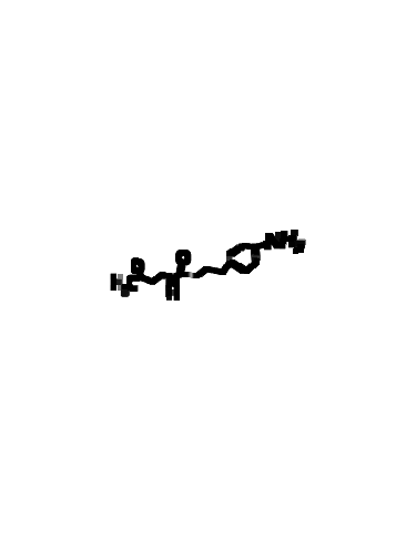 CC(=O)CCNC(=O)CCCc1ccc(N)cc1